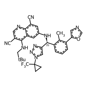 Cc1c(-c2cnco2)cccc1[C@H](Nc1cc(C#N)c2ncc(C#N)c(NCC(C)(C)C)c2c1)c1cn(C2(C(F)(F)F)CC2)nn1